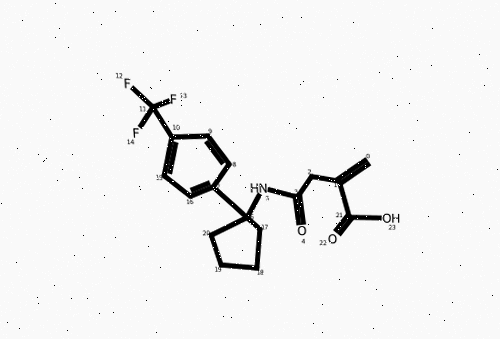 C=C(CC(=O)NC1(c2ccc(C(F)(F)F)cc2)CCCC1)C(=O)O